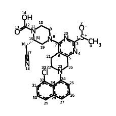 C[S+]([O-])c1nc2c(c(N3CCN(C(=O)O)[C@@H](CC#N)C3)n1)CCN(c1cccc3cccc(Cl)c13)C2